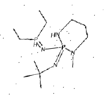 CC[PH](CC)=NP1(=NC(C)(C)C)NCCCN1C